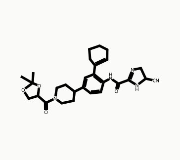 CC1(C)OCC(C(=O)N2CCC(c3ccc(NC(=O)C4=NCC(C#N)N4)c(C4=CCCCC4)c3)CC2)O1